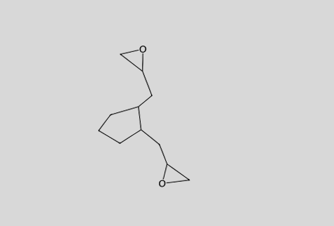 C1CC(CC2CO2)C(CC2CO2)C1